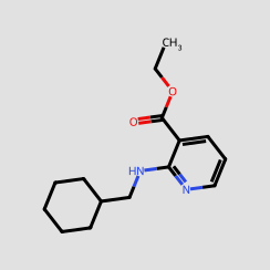 CCOC(=O)c1cccnc1NCC1CCCCC1